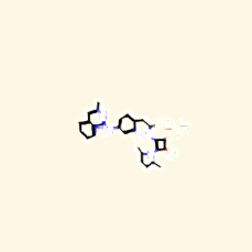 Cc1cc2ccccc2c(Nc2ccc(CC(Nc3c(N4C(C)CCC4C)c(=O)c3=O)C(=O)O)cc2)n1